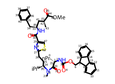 CCC[C@H](NC(=O)OCC1c2ccccc2-c2ccccc21)C(=O)N(C)[C@H](CCc1nc(C(=O)N[C@@H](Cc2ccccc2)C[C@H](C)C(=O)OC)cs1)C(C)C